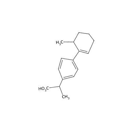 CC1CCCC=C1c1ccc(C(C)C(=O)O)cc1